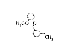 CCc1cccc(COc2ccccc2OC)c1